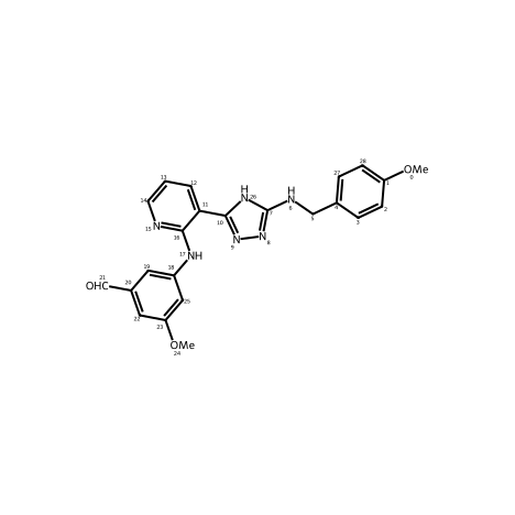 COc1ccc(CNc2nnc(-c3cccnc3Nc3cc(C=O)cc(OC)c3)[nH]2)cc1